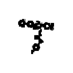 O=C(N[C@@H](CCCN[C@@H]1C[C@H]1c1ccc(F)cc1)C(=O)N1CCS(=O)(=O)CC1)c1ccc(-c2ncccn2)cc1